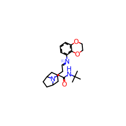 CC(C)(C)NC(=O)CN1C2CCC1CC(C/C=N/c1cccc3c1OCCO3)C2